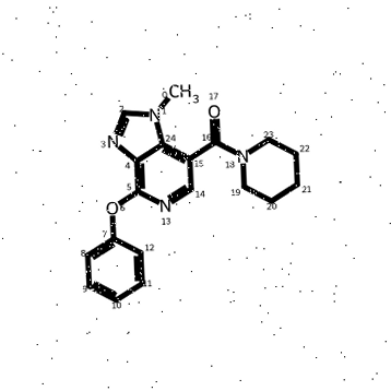 Cn1cnc2c(Oc3ccccc3)ncc(C(=O)N3CCCCC3)c21